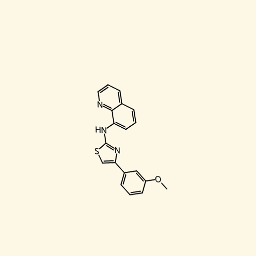 COc1cccc(-c2csc(Nc3cccc4cccnc34)n2)c1